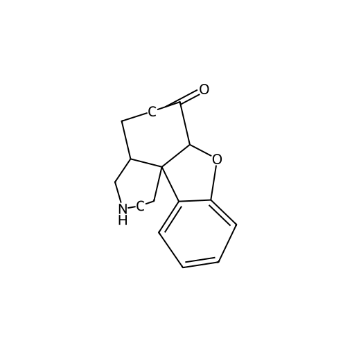 O=C1CCC2CNCCC23c2ccccc2OC13